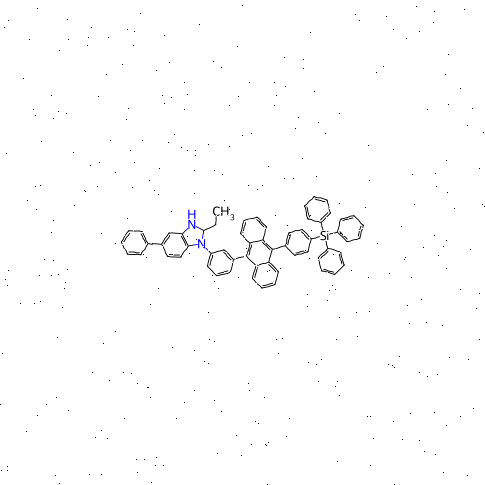 CCC1Nc2cc(-c3ccccc3)ccc2N1c1cccc(-c2c3ccccc3c(-c3ccc([Si](c4ccccc4)(c4ccccc4)c4ccccc4)cc3)c3ccccc23)c1